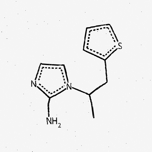 CC(Cc1cccs1)n1ccnc1N